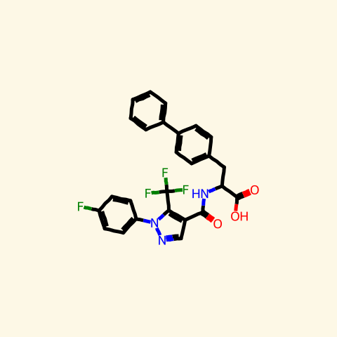 O=C(NC(Cc1ccc(-c2ccccc2)cc1)C(=O)O)c1cnn(-c2ccc(F)cc2)c1C(F)(F)F